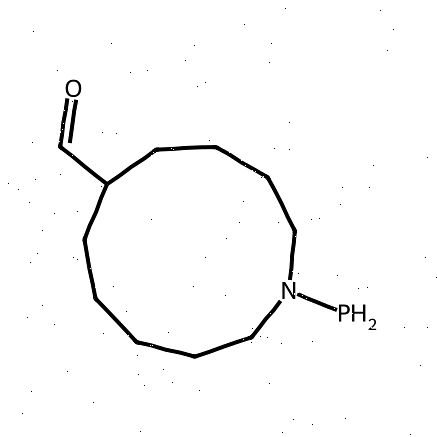 O=CC1CCCCCN(P)CCCC1